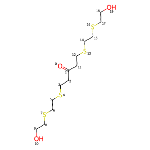 O=C(CCSCCSCCO)CCSCCSCCO